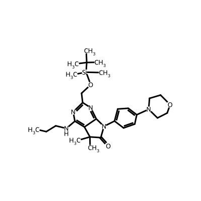 CCCNc1nc(CO[Si](C)(C)C(C)(C)C)nc2c1C(C)(C)C(=O)N2c1ccc(N2CCOCC2)cc1